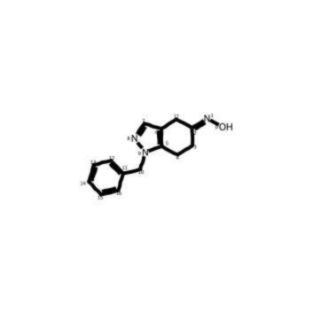 O/N=C1\CCc2c(cnn2Cc2ccccc2)C1